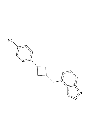 N#Cc1ccc(C2C[C](Cc3cccc4ncsc34)C2)cc1